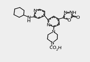 O=C(O)N1CCN(c2cc(-c3n[nH]c(=O)o3)cc(-c3ccnc(NC4CCCCC4)c3)n2)CC1